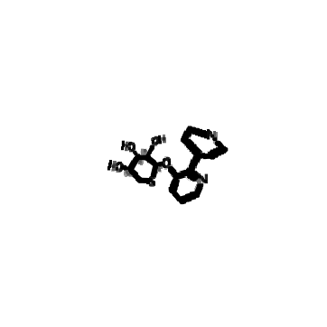 O[C@@H]1[C@@H](O)[C@@H](Oc2cccnc2-c2ccncc2)SC[C@H]1O